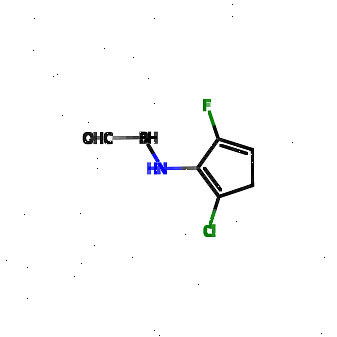 O=CBNC1=C(Cl)CC=C1F